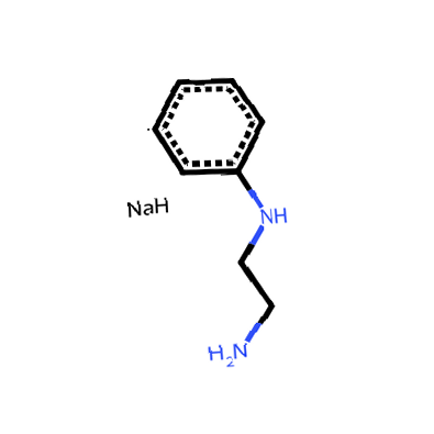 NCCNc1c[c]ccc1.[NaH]